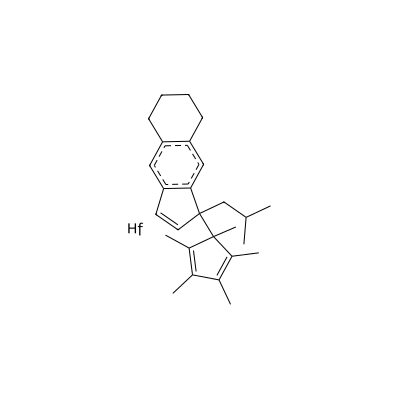 CC1=C(C)C(C)(C2(CC(C)C)C=Cc3cc4c(cc32)CCCC4)C(C)=C1C.[Hf]